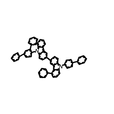 c1ccc(-c2ccc(-n3c4ccc(-c5ccc6c(c5)c5ccccc5n6-c5ccc(-c6ccccc6)cc5-c5ccccc5)cc4c4c(-c5ccccc5)cccc43)cc2)cc1